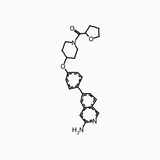 Nc1cc2cc(-c3ccc(OC4CCN(C(=O)C5CCCO5)CC4)cc3)ccc2cn1